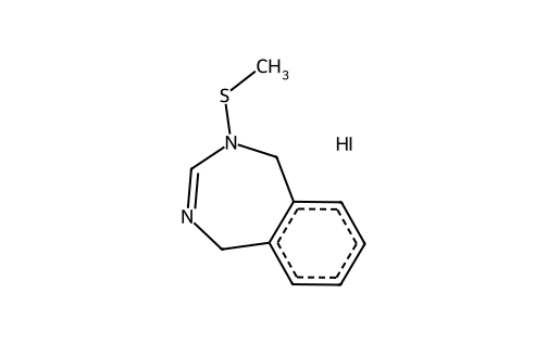 CSN1C=NCc2ccccc2C1.I